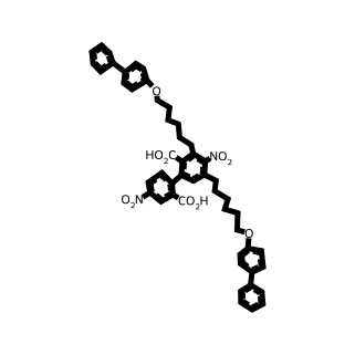 O=C(O)c1cc([N+](=O)[O-])ccc1-c1cc(CCCCCCOc2ccc(-c3ccccc3)cc2)c([N+](=O)[O-])c(CCCCCCOc2ccc(-c3ccccc3)cc2)c1C(=O)O